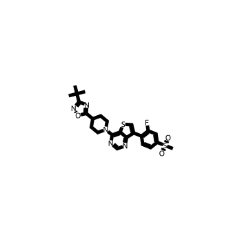 CC(C)(C)c1noc(C2CCN(c3ncnc4c(-c5ccc(S(C)(=O)=O)cc5F)csc34)CC2)n1